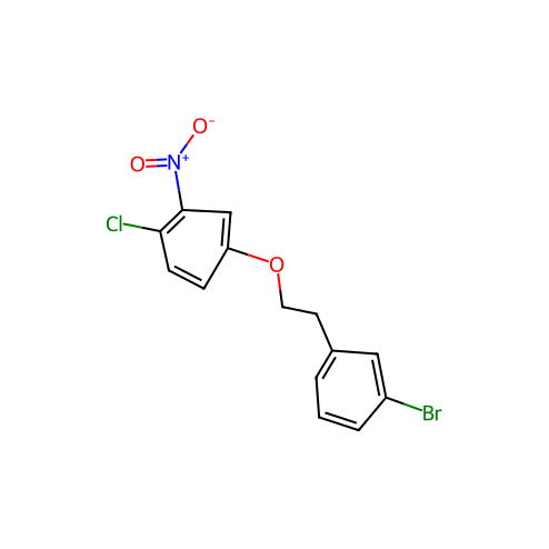 O=[N+]([O-])c1cc(OCCc2cccc(Br)c2)ccc1Cl